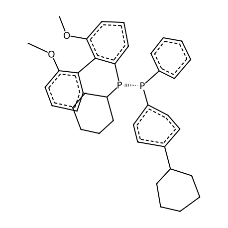 COc1ccc[c]c1-c1c(OC)cccc1P(C1CCCCC1)[P@](c1ccccc1)c1ccc(C2CCCCC2)cc1